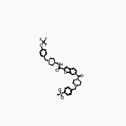 CS(=O)(=O)c1ccc(CN2CCN(C(=O)c3ccc4cc(C(=O)NC5CCN(Cc6ccc(OC(F)(F)F)cc6)CC5)oc4c3)CC2)cc1